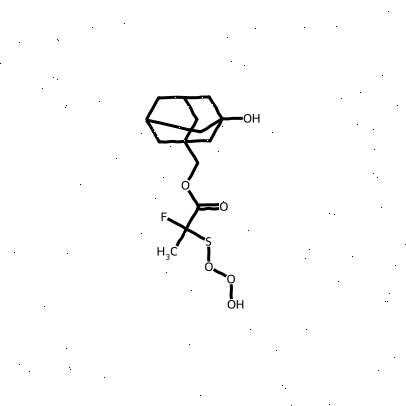 CC(F)(SOOO)C(=O)OCC12CC3CC(CC(O)(C3)C1)C2